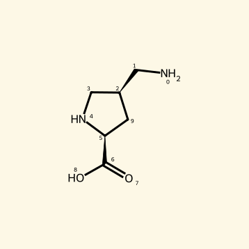 NC[C@@H]1CN[C@H](C(=O)O)C1